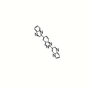 c1cnc2cc(-c3ncc4cc(-c5cnc6ccccc6n5)ccc4n3)cnc2c1